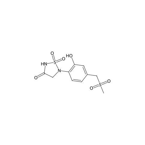 CS(=O)(=O)Cc1ccc(N2CC(=O)NS2(=O)=O)c(O)c1